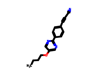 CCCCOc1cnc(-c2ccc(C#CC#N)cc2)nc1